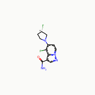 NC(=O)c1cnn2ccc(N3CC[C@H](F)C3)c(F)c12